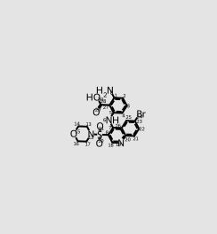 Nc1cccc(Nc2c(S(=O)(=O)N3CCOCC3)cnc3ccc(Br)cc23)c1C(=O)O